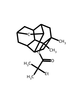 CCC(C)(C)C(=O)OC1(C)C2C3CC4CC5C3CC1(C)CC5C2C4